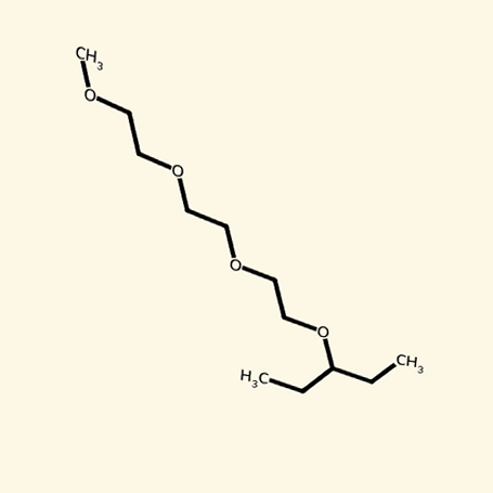 CCC(CC)OCCOCCOCCOC